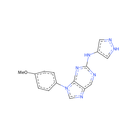 COc1ccc(-n2cnc3cnc(Nc4cn[nH]c4)nc32)cc1